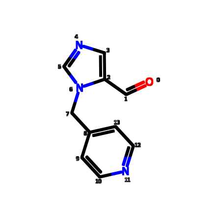 O=Cc1cncn1Cc1ccncc1